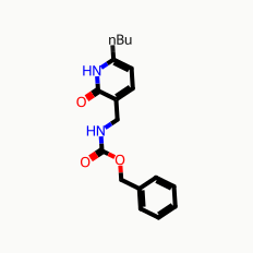 CCCCc1ccc(CNC(=O)OCc2ccccc2)c(=O)[nH]1